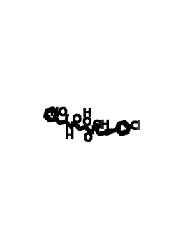 O=C(C[C@H](O)C(=O)N(O)CC#Cc1ccc(Cl)cc1)N[C@H](CO)Cc1ccccc1